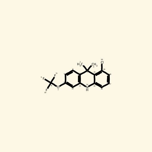 CC1(C)c2ccc(OC(F)(F)F)cc2Nc2cccc(Cl)c21